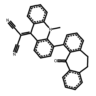 CN1c2ccccc2C(=C(C#N)C#N)c2cccc(-c3cccc4c3C(=O)c3ccccc3CC4)c21